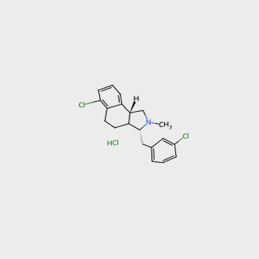 CN1C[C@H]2c3cccc(Cl)c3CCC2[C@H]1Cc1cccc(Cl)c1.Cl